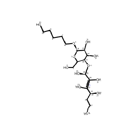 OCC1O[C@@H](OCCCCCS)C(O)C(O)[C@H]1O[C@H](O)/C(O)=C(\O)[C@@H](O)CCS